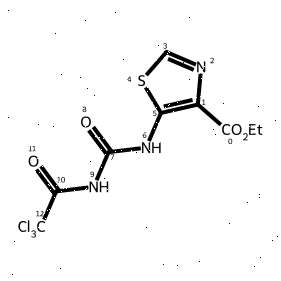 CCOC(=O)c1ncsc1NC(=O)NC(=O)C(Cl)(Cl)Cl